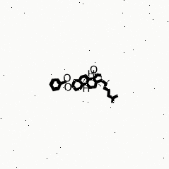 CC(C)CCC[C@@H](C)[C@H]1CC(=O)[C@H]2C3=CCC4CC(OC(=O)c5ccccc5)CC[C@]4(C)[C@H]3CC[C@@]21C